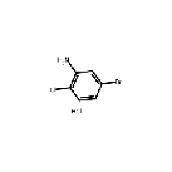 Cl.Nc1cc(Br)ccc1Cl